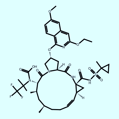 CCOc1cc2cc(OC)ccc2c(O[C@@H]2C[C@H]3C(=O)N[C@]4(C(=O)NS(=O)(=O)C5(C)CC5)C[C@H]4/C=C\CC[C@@H](C)C[C@@H](C)[C@H](N(C(=O)O)C(C)(C)C(F)(F)F)C(=O)N3C2)n1